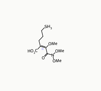 CO/C(C(=O)N(OC)OC)=C(\CCC[SiH3])C(=O)O